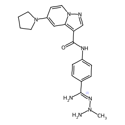 CN(N)/N=C(\N)c1ccc(NC(=O)c2cnn3ccc(N4CCCC4)cc23)cc1